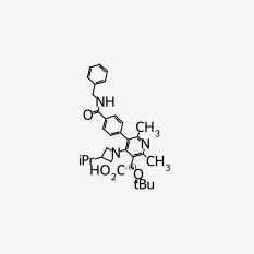 Cc1nc(C)c([C@H](OC(C)(C)C)C(=O)O)c(N2CC(C(C)C)C2)c1-c1ccc(C(=O)NCc2ccccc2)cc1